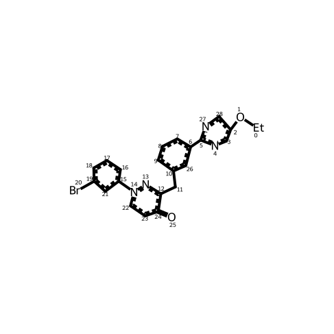 CCOc1cnc(-c2cccc(Cc3nn(-c4cccc(Br)c4)ccc3=O)c2)nc1